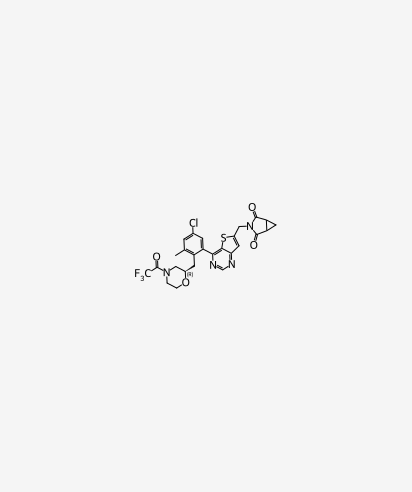 Cc1cc(Cl)cc(-c2ncnc3cc(CN4C(=O)C5CC5C4=O)sc23)c1C[C@@H]1CN(C(=O)C(F)(F)F)CCO1